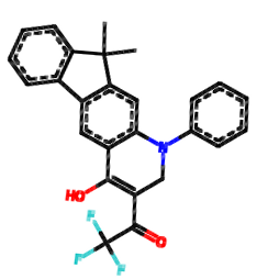 CC1(C)c2ccccc2-c2cc3c(cc21)N(c1ccccc1)CC(C(=O)C(F)(F)F)=C3O